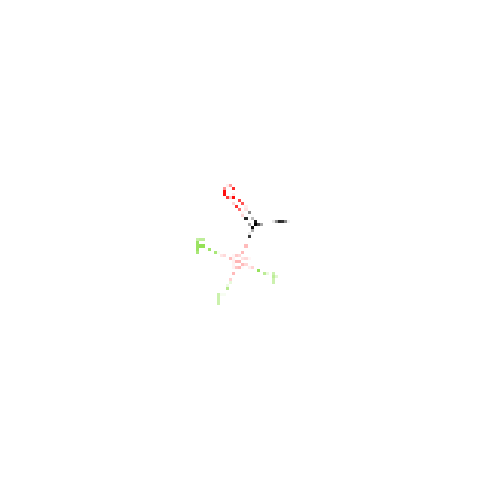 CC(=O)[B-](F)(F)F